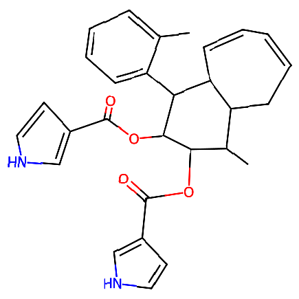 Cc1ccccc1C1C2C=CC=CCC2C(C)C(OC(=O)c2cc[nH]c2)C1OC(=O)c1cc[nH]c1